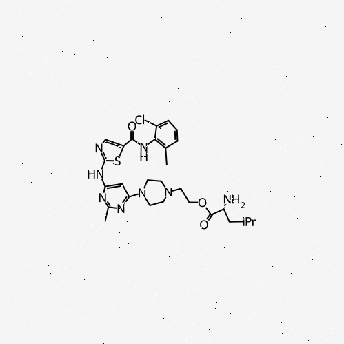 Cc1nc(Nc2ncc(C(=O)Nc3c(C)cccc3Cl)s2)cc(N2CCN(CCOC(=O)[C@H](N)CC(C)C)CC2)n1